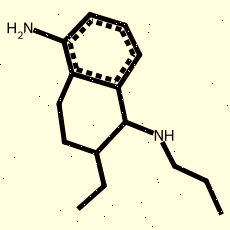 CCCNC1c2cccc(N)c2CCC1CC